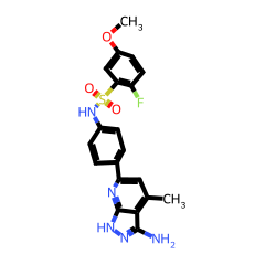 COc1ccc(F)c(S(=O)(=O)Nc2ccc(-c3cc(C)c4c(N)n[nH]c4n3)cc2)c1